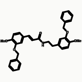 COc1ccc(/C=C/C(=O)NCCc2ccc(OC)c(OCc3ccccc3)c2)cc1OCc1ccccc1